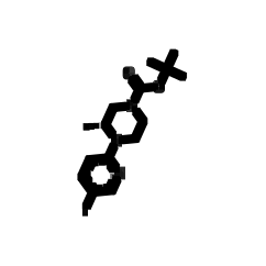 C[C@@H]1CN(C(=O)OC(C)(C)C)CCN1c1ccc(I)cn1